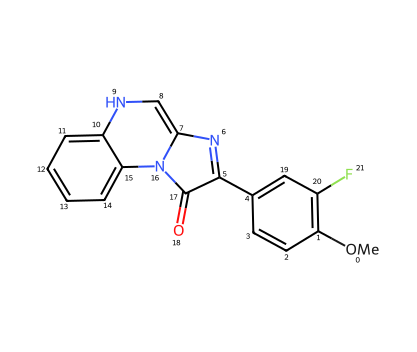 COc1ccc(-c2nc3c[nH]c4ccccc4n-3c2=O)cc1F